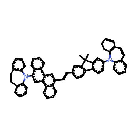 CC1(C)c2cc(/C=C/c3cc4c5ccccc5c(N5c6ccccc6C=Cc6ccccc65)cc4c4ccccc34)ccc2-c2ccc(N3C4=C(C=CCC4)C=Cc4ccccc43)cc21